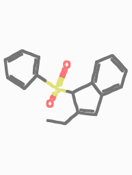 CCC1=Cc2ccccc2C1S(=O)(=O)c1ccccc1